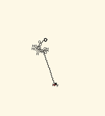 CCC[C@@H](O)[C@H](COC1OC(COC(=O)CCc2ccccc2)C(O)C(O)C1O)NC(=O)CCCCCCCCCCCCCCCCCCCCCCCC12CC(F)([C@@H]1C)[C@@H]2C